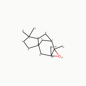 CC1(C)CCC23CC(CC12)C1(C)OC1(C)C3